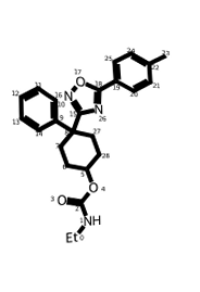 CCNC(=O)OC1CCC(c2ccccc2)(c2noc(-c3ccc(C)cc3)n2)CC1